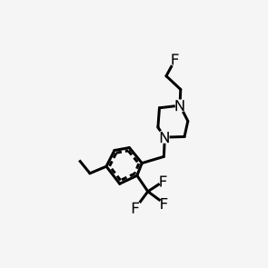 CCc1ccc(CN2CCN(CCF)CC2)c(C(F)(F)F)c1